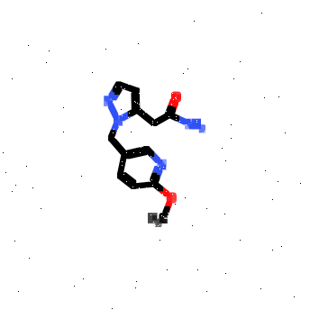 COc1ccc(Cn2nccc2CC(N)=O)cn1